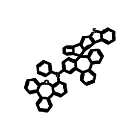 c1ccc(N(c2ccc3c(c2)-c2ccccc2-c2ccccc2C32c3ccccc3-c3cc4sc5ccccc5c4cc32)c2cccc3c2Oc2ccccc2-c2ccccc2-3)cc1